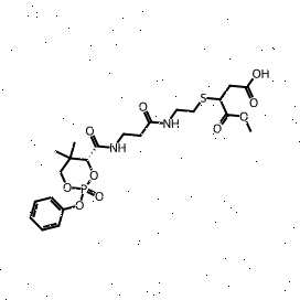 COC(=O)C(CC(=O)O)SCCNC(=O)CCNC(=O)[C@@H]1OP(=O)(Oc2ccccc2)OCC1(C)C